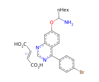 CCCCCCC(N)Oc1ccc2c(-c3ccc(Br)cc3)ncnc2c1.O=C(O)/C=C/C(=O)O